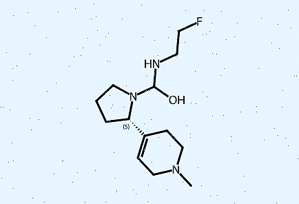 CN1CC=C([C@@H]2CCCN2C(O)NCCF)CC1